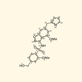 COc1cc(CO)ccc1S(=O)(=O)Nc1noc2cc(Cn3cccn3)cc(OC)c12